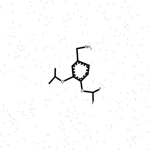 CC(C)Oc1cc(CN)ccc1OC(F)F